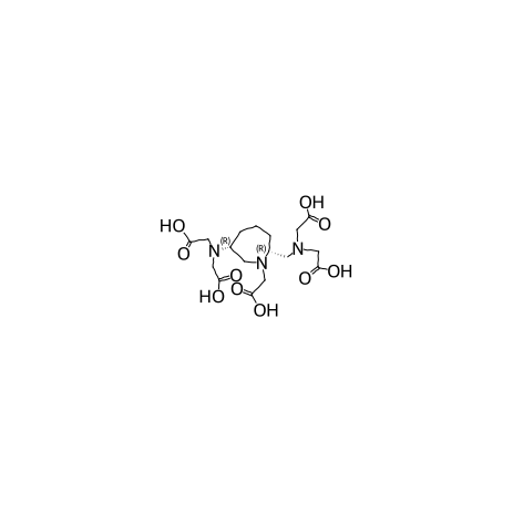 O=C(O)CN(CC(=O)O)C[C@H]1CCC[C@@H](N(CC(=O)O)CC(=O)O)CN1CC(=O)O